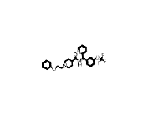 O=C(N[C@@H](c1cccc(OC(F)(F)F)c1)c1ccccn1)C1CCN(CCOc2ccccc2)CC1